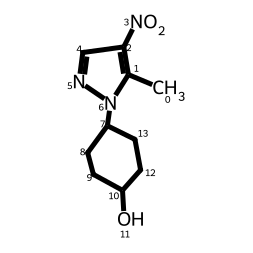 Cc1c([N+](=O)[O-])cnn1C1CCC(O)CC1